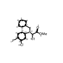 CCC(C(=O)OC)N(Cc1ccccc1)c1ccc(F)c(Cl)c1